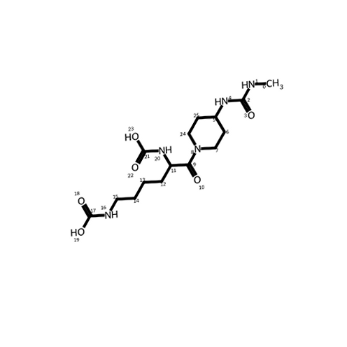 CNC(=O)NC1CCN(C(=O)C(CCCCNC(=O)O)NC(=O)O)CC1